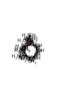 CC[C@H](C)[C@@H]1NC(=O)[C@@H](CCCNC(=N)N)NC(=O)[C@H](C[Si](C)(C)C)NC(=O)[C@H]([C@H](O)C(C)C)NC(=O)[C@@H](NC(=O)[C@H](CC(C)(C)C)NC(=O)[C@H](N)CC(C)(C)C)[C@@H](c2ccccc2)NC(=O)C(CO)NC(=O)[C@H](CO)NC(=O)CNC(=O)[C@H]([C@H](C)O)NC1=O